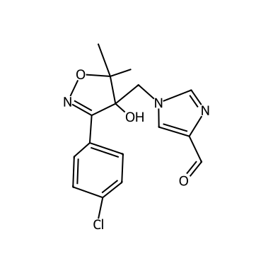 CC1(C)ON=C(c2ccc(Cl)cc2)C1(O)Cn1cnc(C=O)c1